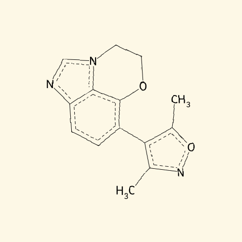 Cc1noc(C)c1-c1ccc2ncn3c2c1OCC3